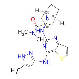 Cc1cc(Nc2nc(N[C@H]3C[C@H]4CC[C@@H](C3)N4CC(=O)N(C)C)nc3ccsc23)n[nH]1